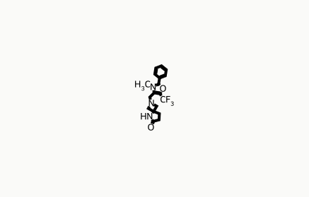 CN1C(CN2CC3(CCC(=O)N3)C2)=C(C(F)(F)F)OC1c1ccccc1